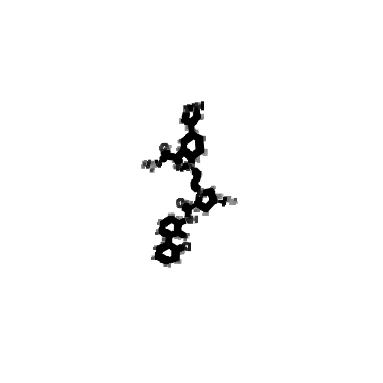 NC(=O)c1nn(CCN2C[C@H](F)C[C@H]2C(=O)Nc2cccc(-c3ccccc3Cl)c2F)c2ccc(-c3cn[nH]c3)cc12